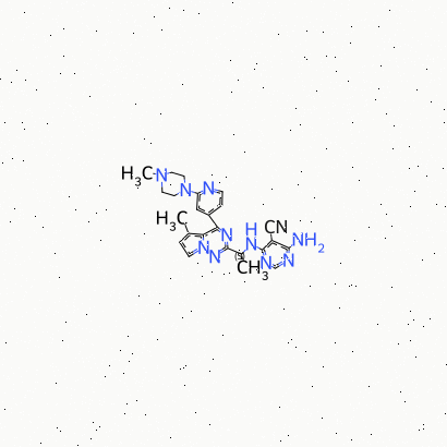 Cc1ccn2nc([C@H](C)Nc3ncnc(N)c3C#N)nc(-c3ccnc(N4CCN(C)CC4)c3)c12